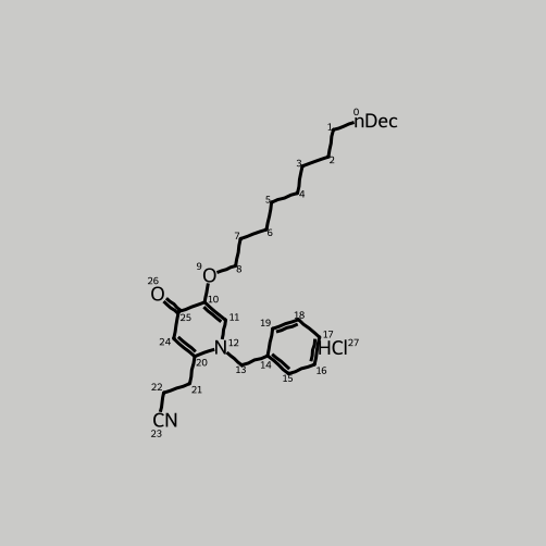 CCCCCCCCCCCCCCCCCCOc1cn(Cc2ccccc2)c(CCC#N)cc1=O.Cl